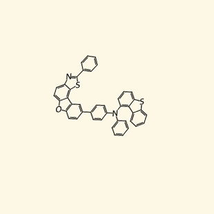 c1ccc(-c2nc3ccc4oc5ccc(-c6ccc(N(c7ccccc7)c7cccc8sc9ccccc9c78)cc6)cc5c4c3s2)cc1